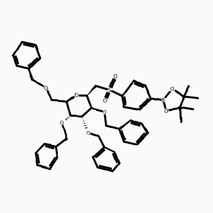 CC1(C)OB(c2ccc(S(=O)(=O)C[C@@H]3OC(COCc4ccccc4)[C@@H](OCc4ccccc4)[C@@H](OCc4ccccc4)C3OCc3ccccc3)cc2)OC1(C)C